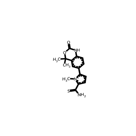 Cn1c(C(N)=S)ccc1-c1ccc2c(c1)C(C)(C)OC(=O)N2